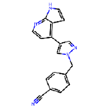 N#Cc1ccc(Cn2cc(-c3ccnc4[nH]ccc34)cn2)cc1